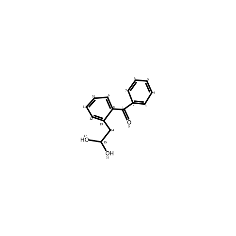 O=C(c1ccccc1)c1ccccc1CC(O)O